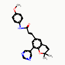 COc1ccc(NC(=O)/C=C/c2cc3c(c(-c4cncnc4)c2)OC(C)(C)C=C3)cc1